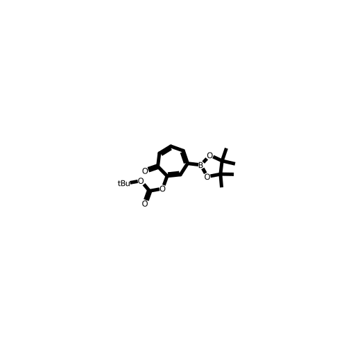 CC(C)(C)OC(=O)Oc1cc(B2OC(C)(C)C(C)(C)O2)cccc1=O